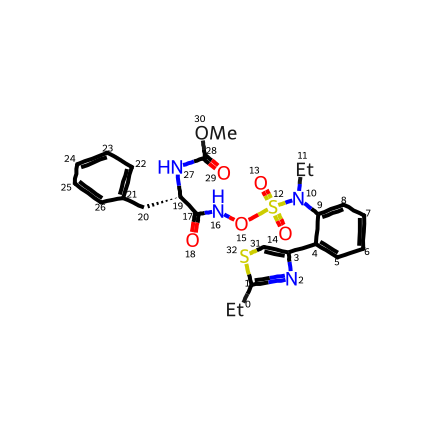 CCc1nc(-c2ccccc2N(CC)S(=O)(=O)ONC(=O)[C@H](Cc2ccccc2)NC(=O)OC)cs1